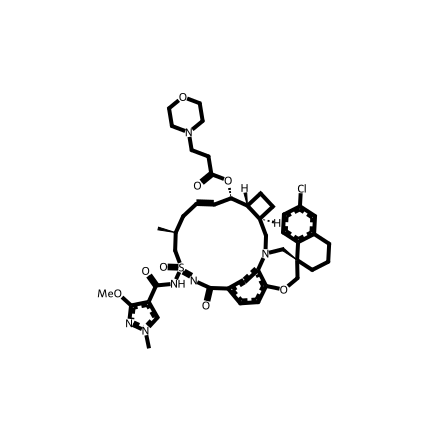 COc1nn(C)cc1C(=O)NS1(=O)=NC(=O)c2ccc3c(c2)N(C[C@@H]2CC[C@H]2[C@@H](OC(=O)CCN2CCOCC2)/C=C/C[C@H](C)C1)C[C@@]1(CCCc2cc(Cl)ccc21)CO3